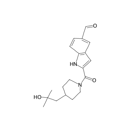 CC(C)(O)CC1CCN(C(=O)c2cc3cc(C=O)ccc3[nH]2)CC1